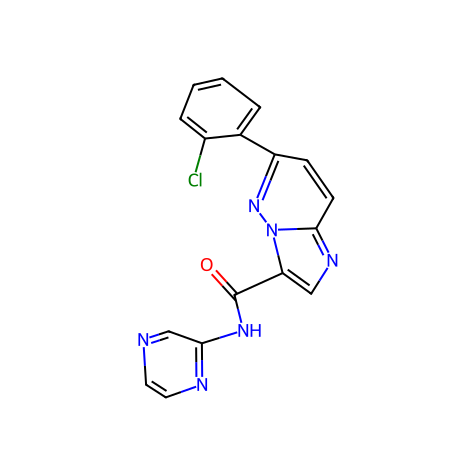 O=C(Nc1cnccn1)c1cnc2ccc(-c3ccccc3Cl)nn12